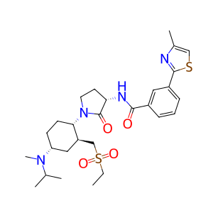 CCS(=O)(=O)C[C@H]1C[C@H](N(C)C(C)C)CC[C@@H]1N1CC[C@H](NC(=O)c2cccc(-c3nc(C)cs3)c2)C1=O